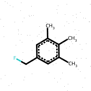 Cc1cc(CF)cc(C)c1C